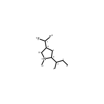 CCC(C)C1CC(C(F)F)CN1C